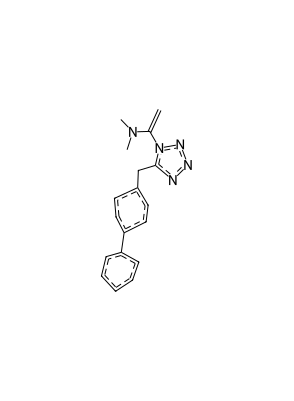 C=C(N(C)C)n1nnnc1Cc1ccc(-c2ccccc2)cc1